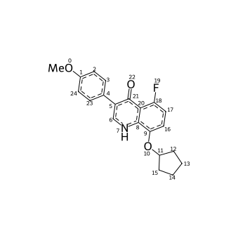 COc1ccc(-c2c[nH]c3c(OC4CCCC4)ccc(F)c3c2=O)cc1